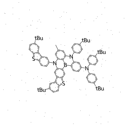 Cc1cc2c3c(c1)N(c1ccc4sc5ccc(C(C)(C)C)cc5c4c1)c1cc4c(cc1B3c1ccc(N(c3ccc(C(C)(C)C)cc3)c3ccc(C(C)(C)C)cc3)cc1N2c1ccc(C(C)(C)C)cc1)sc1ccc(C(C)(C)C)cc14